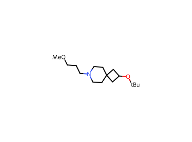 COCCCN1CCC2(CC1)CC(OC(C)(C)C)C2